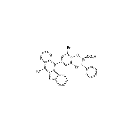 O=C(O)[C@@H](Cc1ccccc1)Oc1c(Br)cc(-c2c3ccccc3c(O)c3sc4ccccc4c23)cc1Br